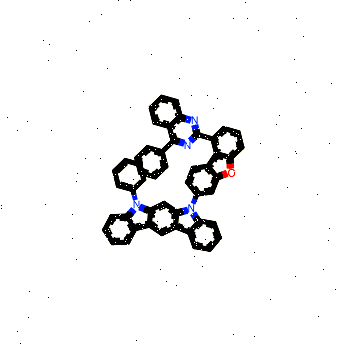 C1=CCCC(n2c3ccccc3c3cc4c5ccccc5n(-c5ccc6c(c5)oc5cccc(-c7nc(-c8ccccc8)c8ccccc8n7)c56)c4cc32)=C1